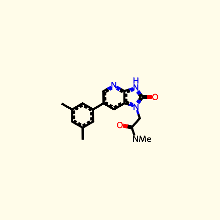 CNC(=O)Cn1c(=O)[nH]c2ncc(-c3cc(C)cc(C)c3)cc21